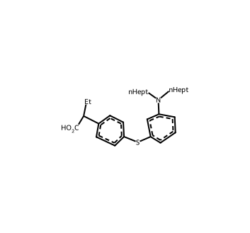 CCCCCCCN(CCCCCCC)c1cccc(Sc2ccc(C(CC)C(=O)O)cc2)c1